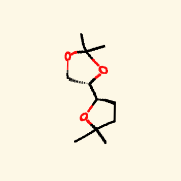 CC1(C)CC[C@H]([C@@H]2COC(C)(C)O2)O1